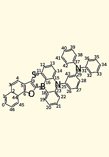 C1=CC2C=Cc3c(oc4c3Sc3cccc5c3B4c3ccccc3N5c3cccc(N(c4ccccc4)c4ccccc4)c3)C2C=C1